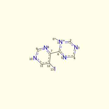 C[n+]1cncnc1-c1ncncc1I